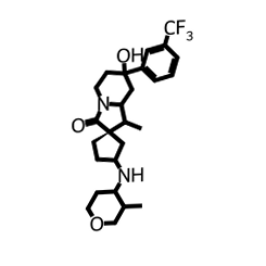 CC1COCCC1NC1CC[C@@]2(C1)C(=O)N1CCC(O)(c3cccc(C(F)(F)F)c3)CC1C2C